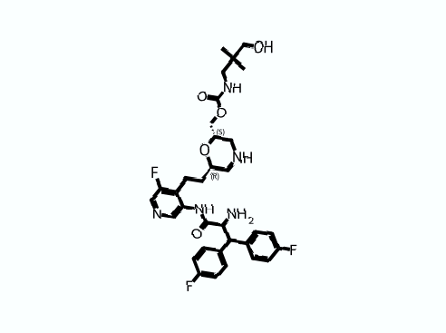 CC(C)(CO)CNC(=O)OC[C@@H]1CNC[C@@H](CCc2c(F)cncc2NC(=O)C(N)C(c2ccc(F)cc2)c2ccc(F)cc2)O1